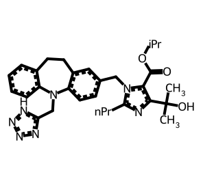 CCCc1nc(C(C)(C)O)c(C(=O)OC(C)C)n1Cc1ccc2c(c1)CCc1ccccc1N2Cc1nnn[nH]1